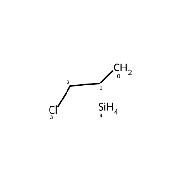 [CH2]CCCl.[SiH4]